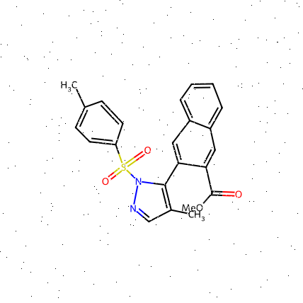 COC(=O)c1cc2ccccc2cc1-c1c(C)cnn1S(=O)(=O)c1ccc(C)cc1